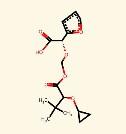 CC(C)(C)[C@H](OC1CC1)C(=O)OCO[C@H](C(=O)O)c1ccco1